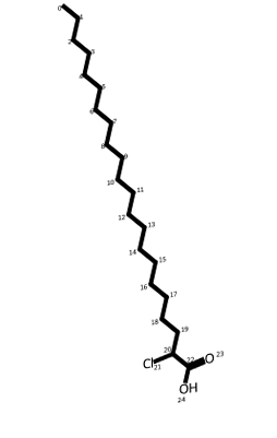 CCCCCCCCCCCCCCCCCCCCC(Cl)C(=O)O